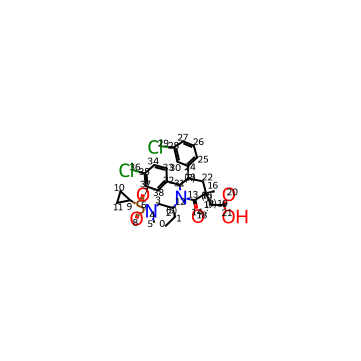 CC[C@@H](CN(C)S(=O)(=O)C1CC1)N1C(=O)[C@@](C)([C@@H](C)C(=O)O)C[C@H](c2cccc(Cl)c2)C1c1ccc(Cl)cc1